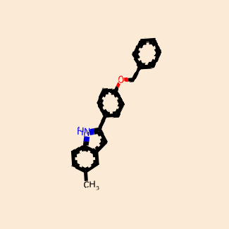 Cc1ccc2[nH]c(-c3ccc(OCc4ccccc4)cc3)cc2c1